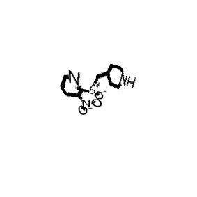 O=[N+]([O-])c1cccnc1[S+]([O-])CC1CCNCC1